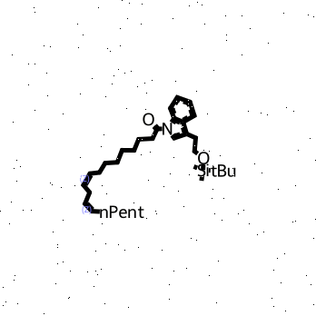 CCCCC/C=C\C/C=C\CCCCCCCC(=O)n1cc(CCO[Si](C)(C)C(C)(C)C)c2ccccc21